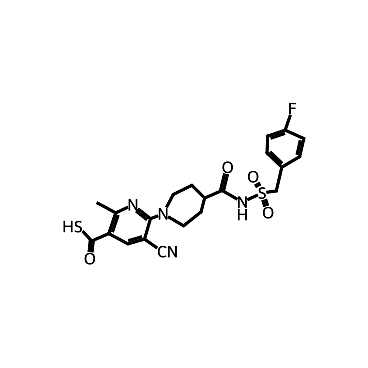 Cc1nc(N2CCC(C(=O)NS(=O)(=O)Cc3ccc(F)cc3)CC2)c(C#N)cc1C(=O)S